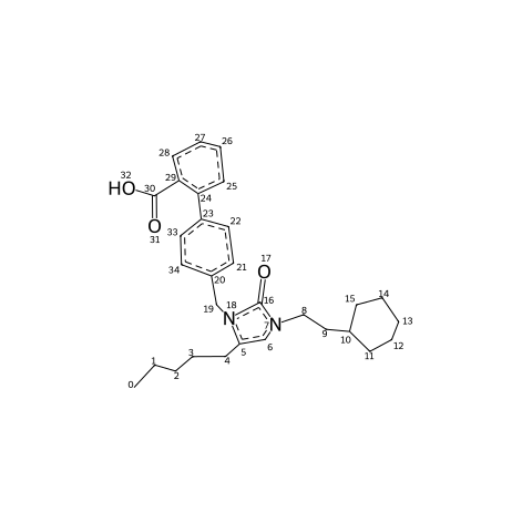 CCCCCc1cn(CCC2CCCCC2)c(=O)n1Cc1ccc(-c2ccccc2C(=O)O)cc1